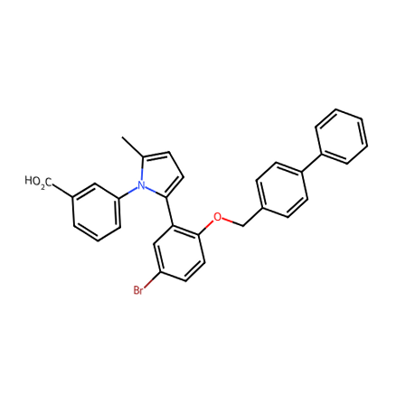 Cc1ccc(-c2cc(Br)ccc2OCc2ccc(-c3ccccc3)cc2)n1-c1cccc(C(=O)O)c1